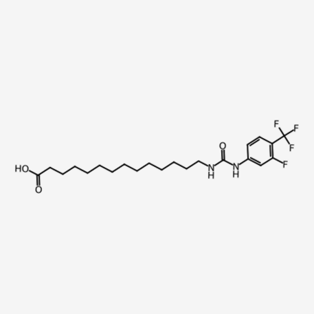 O=C(O)CCCCCCCCCCCCCNC(=O)Nc1ccc(C(F)(F)F)c(F)c1